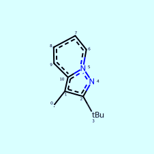 [CH2]c1c(C(C)(C)C)nn2ccccc12